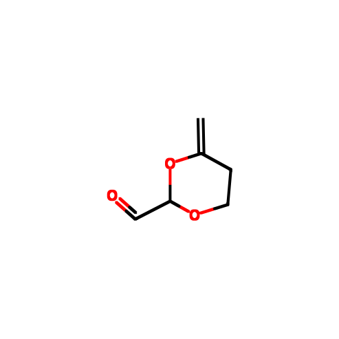 C=C1CCOC(C=O)O1